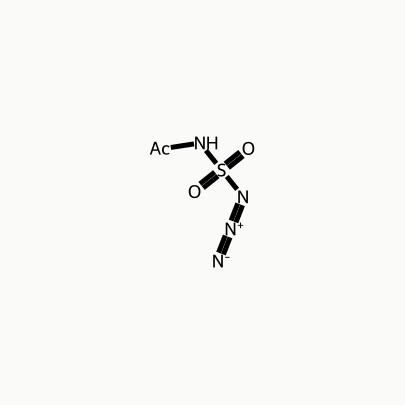 CC(=O)NS(=O)(=O)N=[N+]=[N-]